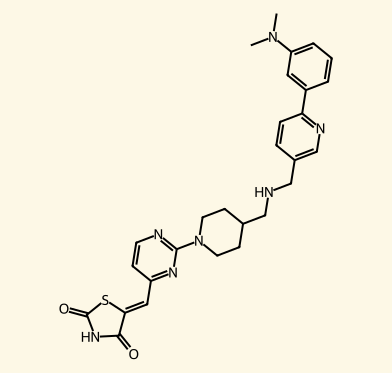 CN(C)c1cccc(-c2ccc(CNCC3CCN(c4nccc(/C=C5\SC(=O)NC5=O)n4)CC3)cn2)c1